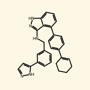 C1=C(c2ccc(-c3cccc4[nH]nc(NCc5cccc(-c6ccn[nH]6)c5)c34)cc2)CCCC1